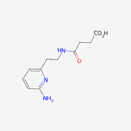 Nc1cccc(CCNC(=O)CCC(=O)O)n1